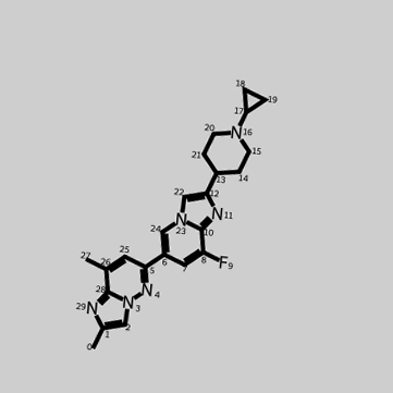 Cc1cn2nc(-c3cc(F)c4nc(C5CCN(C6CC6)CC5)cn4c3)cc(C)c2n1